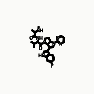 CNC(C)C(=O)NC(C(=O)N1CCC2C1C(c1c[nH]c3cc(F)ccc13)=CN2c1ncccn1)C(C)C